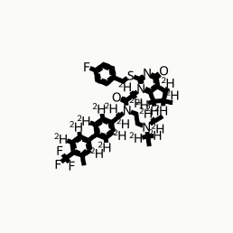 [2H]c1c([2H])c(C([2H])([2H])N(CCN(C([2H])([2H])C)C([2H])([2H])C)C(=O)C([2H])([2H])n2c(SCc3ccc(F)cc3)nc(=O)c3c2C([2H])([2H])C([2H])(C)C3([2H])[2H])c([2H])c([2H])c1-c1c([2H])c([2H])c(C(F)(F)F)c(C)c1[2H]